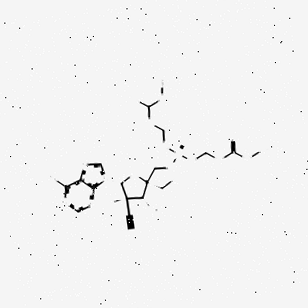 C#C[C@@]1(O)[C@H](O)[C@@](CF)(COP(=O)(OCOC(=O)OC(C)C)OCOC(O)OC(C)C)O[C@H]1n1cnc2c(N)ncnc21